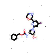 O=C(N[C@@H]1CN(c2cc(I)cc(C3CNCCO3)n2)C[C@H]1O)OCc1ccccc1